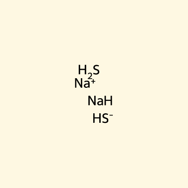 S.[Na+].[NaH].[SH-]